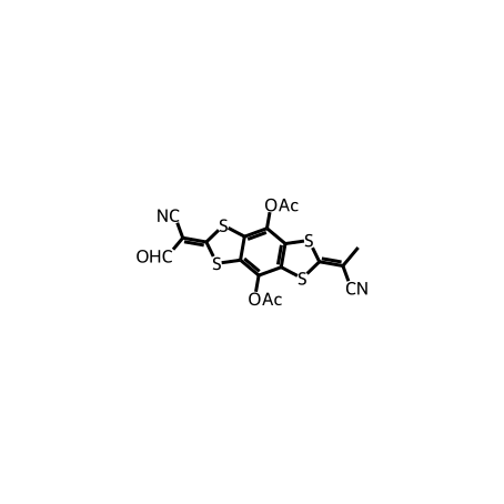 CC(=O)Oc1c2c(c(OC(C)=O)c3c1SC(=C(C#N)C=O)S3)SC(=C(C)C#N)S2